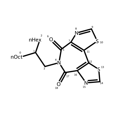 CCCCCCCCC(CCCCCC)Cn1c(=O)c2ncsc2c2scnc2c1=O